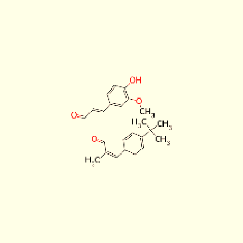 CC(C=O)=CC1C=CC(C(C)(C)C)=CC1.COc1cc(C=CC=O)ccc1O